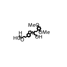 COc1ccc(OC)c(CCN(CCO)[C@H]2CCc3cc(C=CC(=O)NO)ccc32)c1